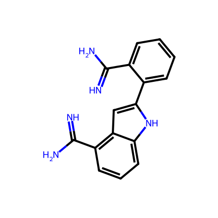 N=C(N)c1ccccc1-c1cc2c(C(=N)N)cccc2[nH]1